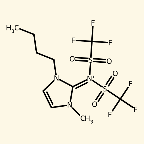 CCCCn1ccn(C)c1=[N+](S(=O)(=O)C(F)(F)F)S(=O)(=O)C(F)(F)F